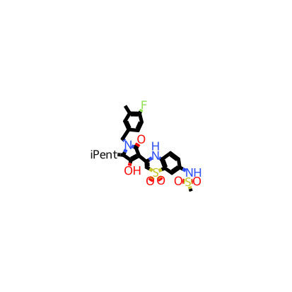 CCCC(C)C1C(O)=C(C2=CS(=O)(=O)c3cc(NS(C)(=O)=O)ccc3N2)C(=O)N1Cc1ccc(F)c(C)c1